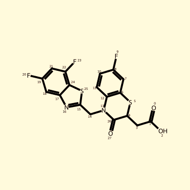 O=C(O)CC1Sc2cc(F)ccc2N(Cc2nc3cc(F)cc(F)c3s2)C1=O